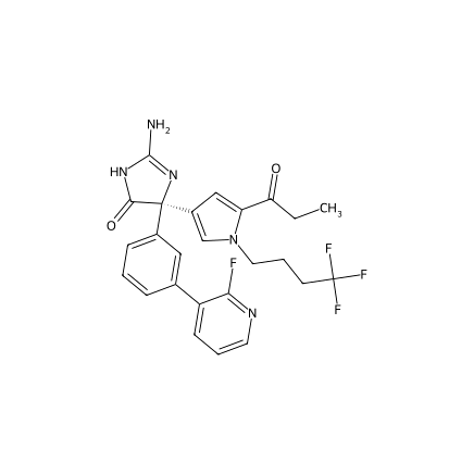 CCC(=O)c1cc([C@@]2(c3cccc(-c4cccnc4F)c3)N=C(N)NC2=O)cn1CCCC(F)(F)F